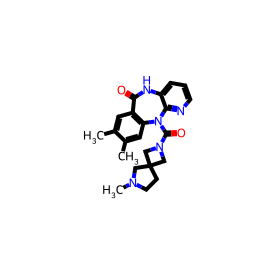 Cc1cc2c(cc1C)N(C(=O)N1CC3(CCN(C)C3)C1)c1ncccc1NC2=O